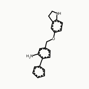 Nc1cc(COc2ccc3c(c2)CCN3)ccc1-c1ccccc1